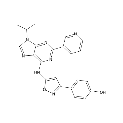 CC(C)n1cnc2c(Nc3cc(-c4ccc(O)cc4)no3)nc(-c3cccnc3)nc21